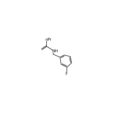 C=C(CCC)NCc1cccc(F)c1